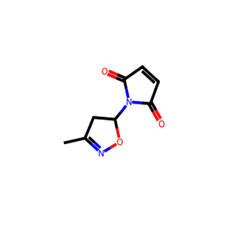 CC1=NOC(N2C(=O)C=CC2=O)C1